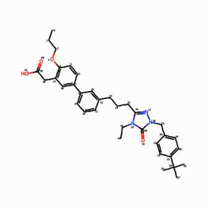 CCCOc1ccc(-c2cccc(CCCc3nn(Cc4ccc(C(C)(C)C)cc4)c(=O)n3CC)c2)cc1CC(=O)O